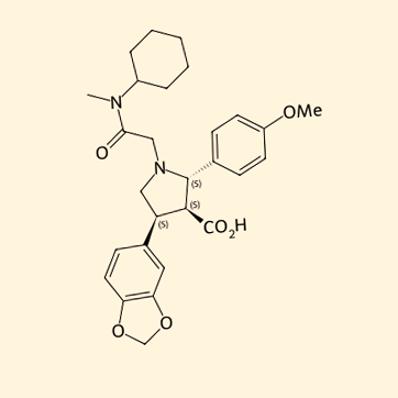 COc1ccc([C@@H]2[C@@H](C(=O)O)[C@@H](c3ccc4c(c3)OCO4)CN2CC(=O)N(C)C2CCCCC2)cc1